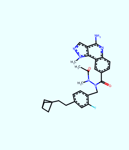 CC(=O)N(C)N(Cc1ccc(CCC23CC(C2)C3)cc1F)C(=O)c1ccc2nc(N)c3cnn(C)c3c2c1